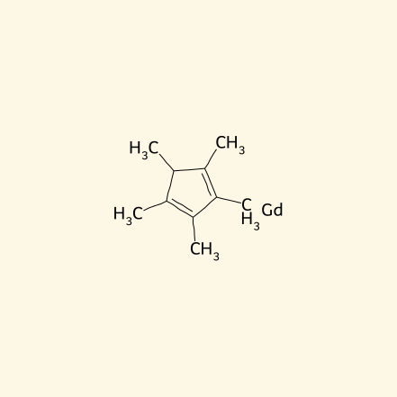 CC1=C(C)C(C)C(C)=C1C.[Gd]